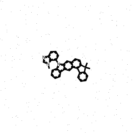 Cn1cnc2cccc(-n3c4ccccc4c4cc5c6c(ccc5cc43)C(C)(C)c3ccccc3-6)c21